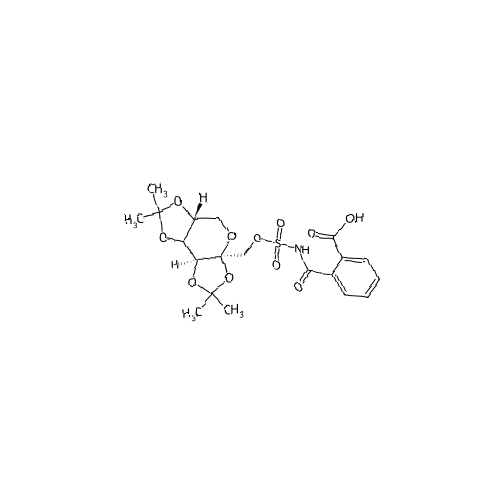 CC1(C)OC2[C@@H](CO[C@@]3(COS(=O)(=O)NC(=O)c4ccccc4C(=O)O)OC(C)(C)O[C@@H]23)O1